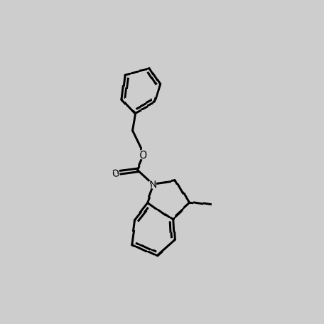 CC1CN(C(=O)OCc2ccccc2)c2ccccc21